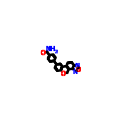 NC(=O)c1ccc(-c2ccc3c(c2)-c2ccc4nonc4c2CO3)cc1